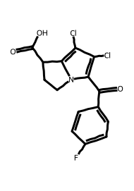 O=C(c1ccc(F)cc1)c1c(Cl)c(Cl)c2n1CCC2C(=O)O